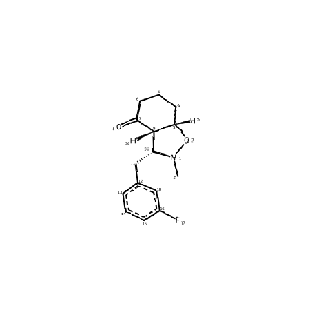 CN1O[C@H]2CCCC(=O)[C@H]2[C@H]1Cc1cccc(F)c1